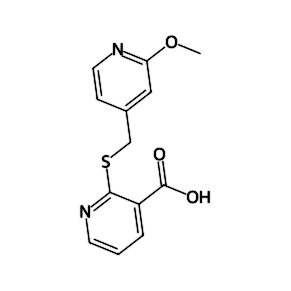 COc1cc(CSc2ncccc2C(=O)O)ccn1